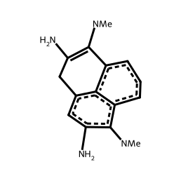 CNC1=C(N)Cc2cc(N)c(NC)c3cccc1c23